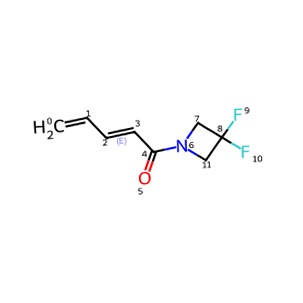 C=C/C=C/C(=O)N1CC(F)(F)C1